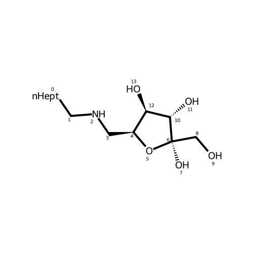 CCCCCCCCNC[C@@H]1O[C@](O)(CO)[C@@H](O)[C@@H]1O